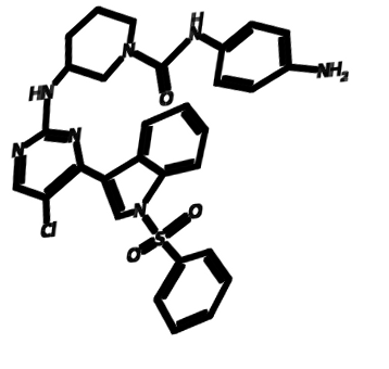 Nc1ccc(NC(=O)N2CCCC(Nc3ncc(Cl)c(-c4cn(S(=O)(=O)c5ccccc5)c5ccccc45)n3)C2)cc1